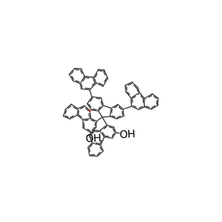 Oc1cc(C2(c3cc(O)cc4c3ccc3ccccc34)c3ccc(-c4cc5ccccc5c5ccccc45)cc3-c3cc(-c4cc5ccccc5c5ccccc45)ccc32)c2ccc3ccccc3c2c1